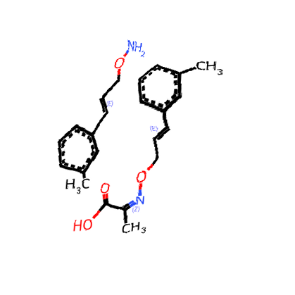 C/C(=N/OC/C=C/c1cccc(C)c1)C(=O)O.Cc1cccc(/C=C/CON)c1